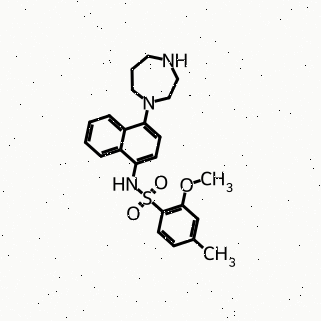 COc1cc(C)ccc1S(=O)(=O)Nc1ccc(N2CCCNCC2)c2ccccc12